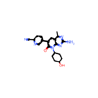 Cc1nc(N)nc2c1cc(-c1ccc(C#N)nc1)c(=O)n2C1CCC(O)CC1